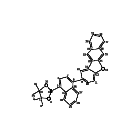 CC1(C)OB(c2ccc(-c3ccc4oc5cc6ccccc6cc5c4c3)c3ccccc23)OC1(C)C